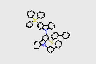 C1=Cc2c(n3c4c(cc(-n5c6ccccc6c6cc(S(c7ccccc7)(c7ccccc7)c7ccccc7)ccc65)cc24)S(c2ccccc2)(c2cccc(-c4ccccc4)c2)c2ccccc2-3)CC1